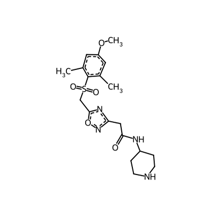 COc1cc(C)c(S(=O)(=O)Cc2nc(CC(=O)NC3CCNCC3)no2)c(C)c1